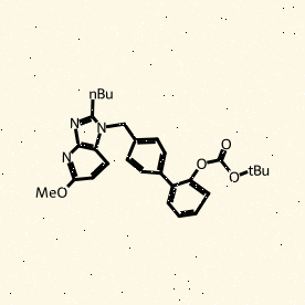 CCCCc1nc2nc(OC)ccc2n1Cc1ccc(-c2ccccc2OC(=O)OC(C)(C)C)cc1